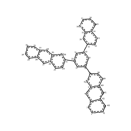 c1ccc2cc3nc(-c4cc(-c5ccc6cccnc6c5)cc(-c5ccc6cc7ccccc7cc6n5)c4)ccc3cc2c1